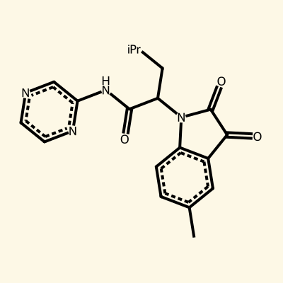 Cc1ccc2c(c1)C(=O)C(=O)N2C(CC(C)C)C(=O)Nc1cnccn1